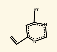 C=Cc1cc(C(C)C)ncn1